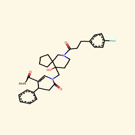 CNC(=O)C1=CN(CC2(O)CCN(C(=O)CCc3ccc(F)cc3)CC23CCCC3)C(=O)CC1c1ccccc1